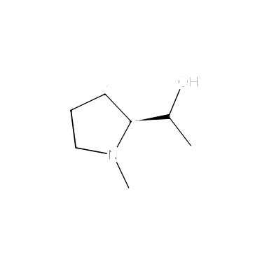 CC(O)[C@@H]1CCCN1C